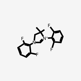 CC1(C)CN(c2c(F)cccc2F)C=[N+]1c1c(F)cccc1F